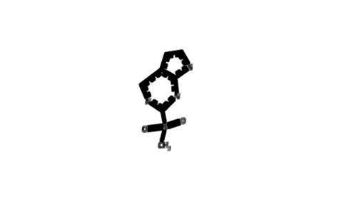 CS(=O)(=O)c1ncc2ccsc2n1